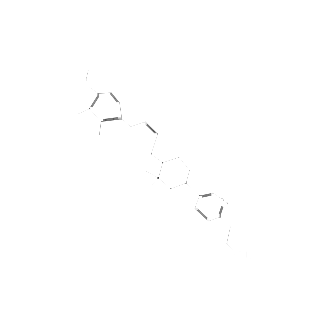 CCCc1ccc(C2CCC(C/C=C\Cc3ccc(OC)c(F)c3F)C(F)(F)C2)cn1